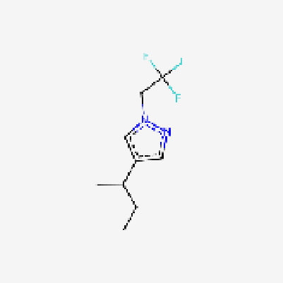 CCC(C)c1cnn(CC(F)(F)F)c1